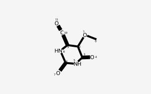 COC1C(=O)NC(=O)NC1=C=O